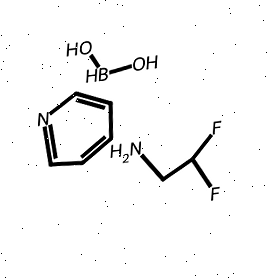 NCC(F)F.OBO.c1ccncc1